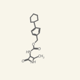 CC1NC(=O)C1NC(=O)OCc1ccc(C2CCCCC2)cc1